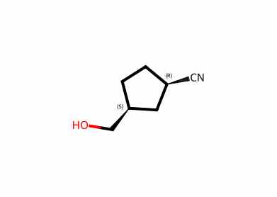 N#C[C@@H]1CC[C@H](CO)C1